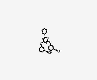 C#Cc1cccc(Oc2nc(Oc3cccc(C#C)c3)nc(-c3ccccc3)n2)c1